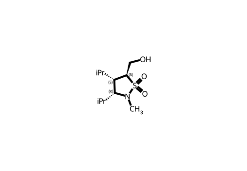 CC(C)[C@H]1[C@@H](C(C)C)N(C)S(=O)(=O)[C@@H]1CO